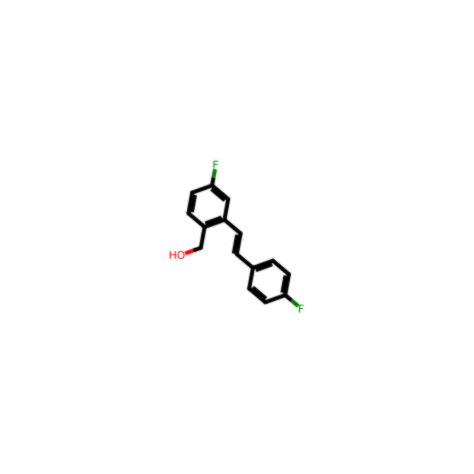 OCc1ccc(F)cc1/C=C/c1ccc(F)cc1